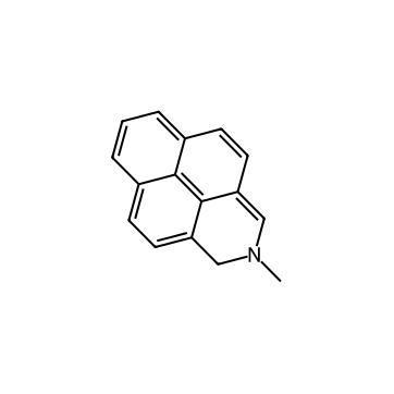 CN1C=c2ccc3cccc4ccc(c2c43)C1